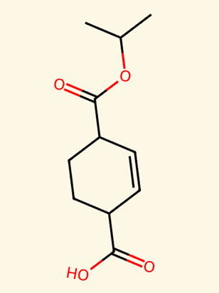 CC(C)OC(=O)C1C=CC(C(=O)O)CC1